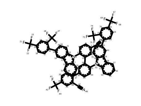 N#Cc1ccc(-n2c3ccccc3c3cc(-c4ccc(C(F)(F)F)cc4C(F)(F)F)ccc32)c(-c2cc(-c3ccc(C(F)(F)F)cc3C#N)ccc2-n2c3ccccc3c3cc(-c4ccc(C(F)(F)F)cc4C(F)(F)F)ccc32)c1